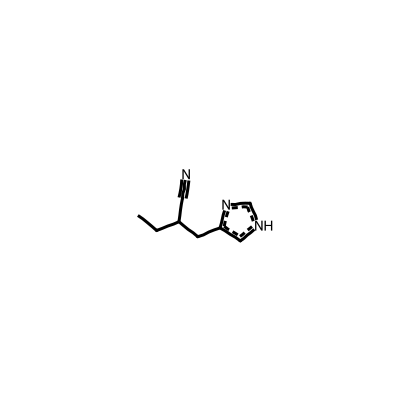 CCC(C#N)Cc1c[nH]cn1